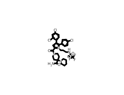 NC(=O)C1(N2CCCCC2)CCN(C(=O)c2cc(-c3ccc(Cl)cc3Cl)c(-c3ccc(Cl)cc3)n2CCCNS(=O)(=O)C(F)(F)F)CC1